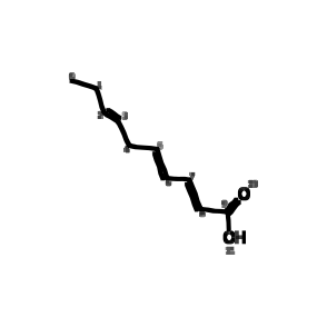 CCC=CCC=CC=CC(=O)O